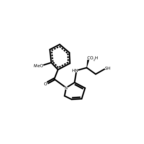 COc1ccccc1C(=O)N1CC=CC=C1N[C@H](CS)C(=O)O